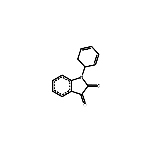 O=C1C(=O)N(C2C=CC=CC2)c2ccccc21